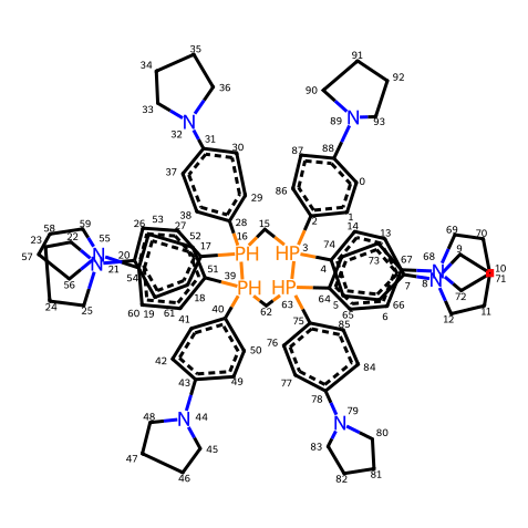 c1cc([PH]2(c3ccc(N4CCCC4)cc3)C[PH](c3ccc(N4CCCC4)cc3)(c3ccc(N4CCCC4)cc3)[PH](c3ccc(N4CCCC4)cc3)(c3ccc(N4CCCC4)cc3)C[PH]2(c2ccc(N3CCCC3)cc2)c2ccc(N3CCCC3)cc2)ccc1N1CCCC1